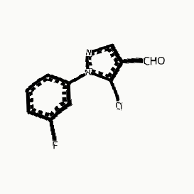 O=Cc1cnn(-c2cccc(F)c2)c1Cl